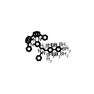 Bc1c(B)c(B)c(-c2c(B)c(B)c(-c3cc(-c4cc(-n5c6ccccc6c6ccccc65)c(-n5c6ccccc6c6ccccc65)c(-n5c6ccccc6c6ccccc65)c4)nc(-c4ccccc4)n3)c(B)c2B)c(B)c1B